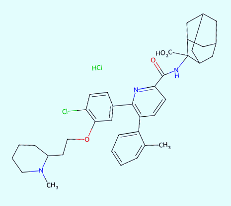 Cc1ccccc1-c1ccc(C(=O)NC2(C(=O)O)C3CC4CC(C3)CC2C4)nc1-c1ccc(Cl)c(OCCC2CCCCN2C)c1.Cl